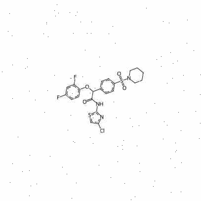 O=C(Nc1nc(Cl)cs1)C(Oc1ccc(F)cc1F)c1ccc(S(=O)(=O)N2CCCCC2)cc1